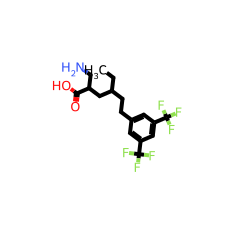 CCC(CCc1cc(C(F)(F)F)cc(C(F)(F)F)c1)CC(CN)C(=O)O